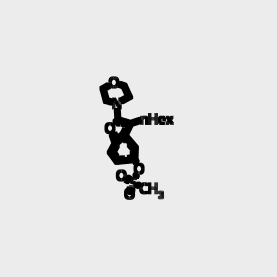 CCCCCCc1c(N2CCOCC2)oc2ccc(OS(C)(=O)=O)cc12